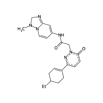 CCC1CC=C(c2ccc(=O)n(CC(=O)NC3=CC4=NCN(C)N4C=C3)n2)CC1